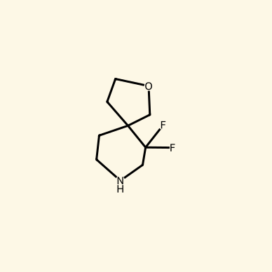 FC1(F)CNCCC12CCOC2